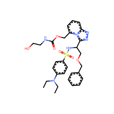 CCN(CC)c1ccc(S(=O)(=O)NC(COCc2ccccc2)c2nnc3cccc(COC(=O)NCCO)n23)cc1